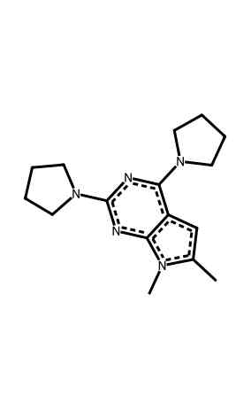 Cc1cc2c(N3CCCC3)nc(N3CCCC3)nc2n1C